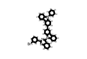 Brc1cccc(-c2nc(-n3c4ccccc4c4cc(-c5ccc6c(c5)c5ccccc5n6-c5ccccc5)ccc43)c3ccccc3n2)c1